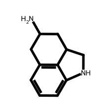 NC1Cc2cccc3c2C(CN3)C1